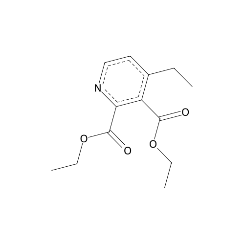 CCOC(=O)c1nccc(CC)c1C(=O)OCC